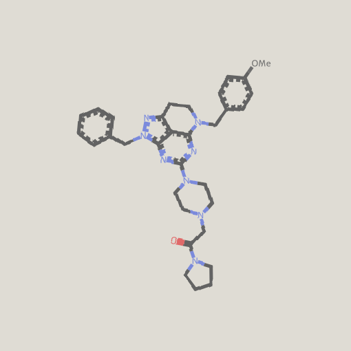 COc1ccc(CN2CCc3nn(Cc4ccccc4)c4nc(N5CCN(CC(=O)N6CCCC6)CC5)nc2c34)cc1